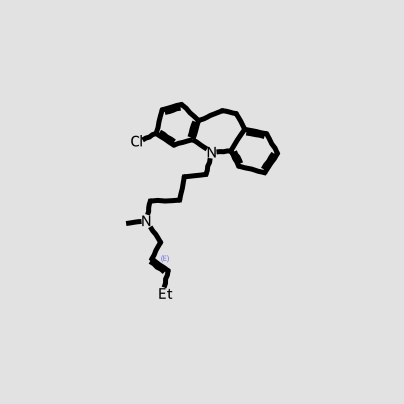 CC/C=C/CN(C)CCCCN1c2ccccc2CCc2ccc(Cl)cc21